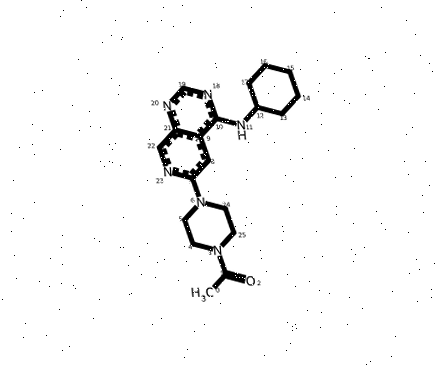 CC(=O)N1CCN(c2cc3c(NC4CCCCC4)ncnc3cn2)CC1